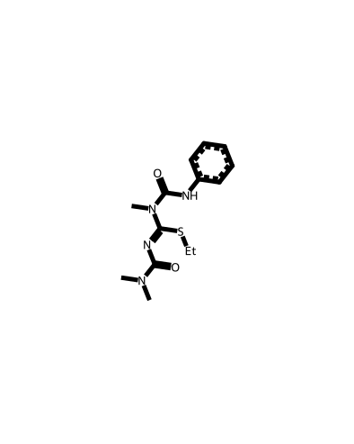 CCSC(=NC(=O)N(C)C)N(C)C(=O)Nc1ccccc1